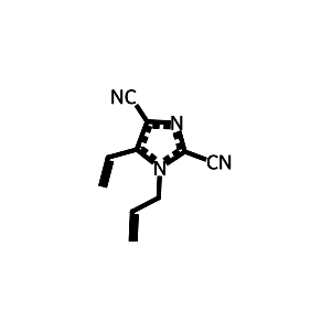 C=CCn1c(C#N)nc(C#N)c1C=C